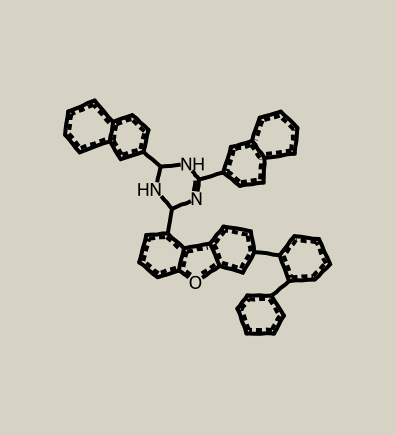 c1ccc(-c2ccccc2-c2ccc3c(c2)oc2cccc(C4N=C(c5ccc6ccccc6c5)NC(c5ccc6ccccc6c5)N4)c23)cc1